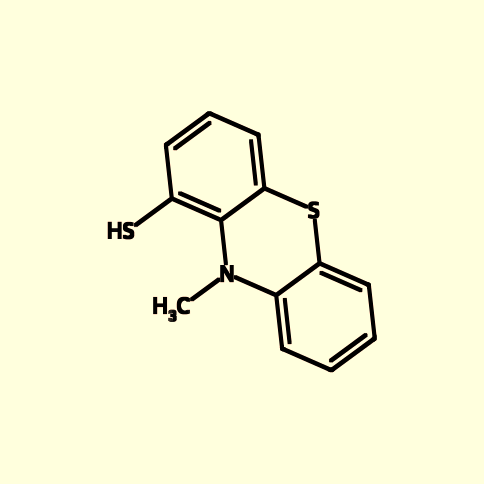 CN1c2ccccc2Sc2cccc(S)c21